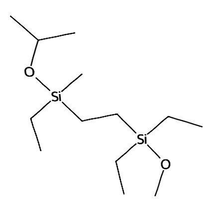 CC[Si](C)(CC[Si](CC)(CC)OC)OC(C)C